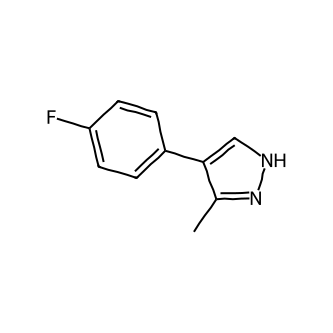 Cc1n[nH]cc1-c1ccc(F)cc1